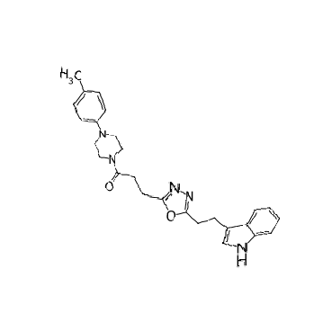 Cc1ccc(N2CCN(C(=O)CCc3nnc(CCc4c[nH]c5ccccc45)o3)CC2)cc1